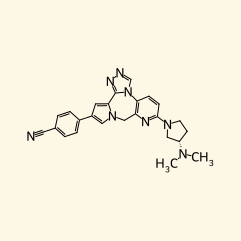 CN(C)[C@H]1CCN(c2ccc3c(n2)Cn2cc(-c4ccc(C#N)cc4)cc2-c2nncn2-3)C1